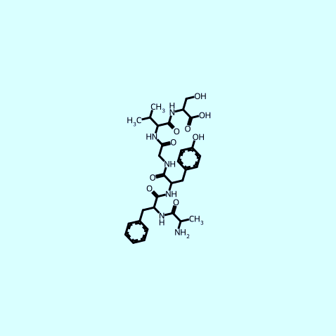 CC(N)C(=O)NC(Cc1ccccc1)C(=O)NC(Cc1ccc(O)cc1)C(=O)NCC(=O)NC(C(=O)NC(CO)C(=O)O)C(C)C